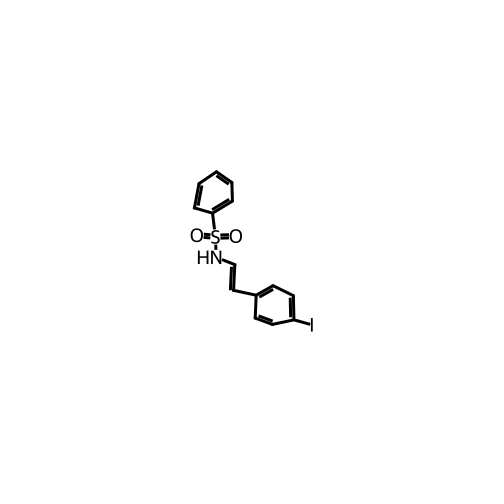 O=S(=O)(N/C=C/c1ccc(I)cc1)c1ccccc1